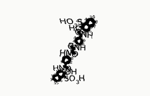 O=C(Nc1ccc(C(=O)Nc2cc3ccccc3c(S(=O)(=O)O)c2O)cc1)C(=O)Nc1ccc(C(=O)Nc2cc3ccccc3c(S(=O)(=O)O)c2O)cc1